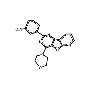 O=[N+]([O-])c1cccc(-c2nc(N3CCOCC3)c3oc4ncccc4c3n2)c1